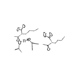 CC(C)[O][Ti+2][O]C(C)C.CCCCC(C(C)=O)C(=O)[O-].CCCCC(C(C)=O)C(=O)[O-]